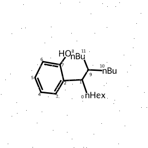 CCCCCCC(c1ccccc1O)C(CCCC)CCCC